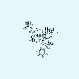 CC(C)C[C@H](NC(=O)[C@H](CO)NC(=O)[C@@H](N)CCC(N)=O)C(=O)OCc1ccccc1.Cl